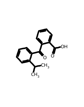 CC(C)c1ccccc1C(=O)c1ccccc1C(=O)O